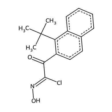 CC(C)(C)c1c(C(=O)C(Cl)=NO)ccc2ccccc12